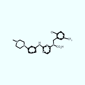 CN1CCN(c2cccc(Nc3nccc(N(Cc4cc(C(F)(F)F)ccc4Cl)C(=O)O)n3)c2)CC1